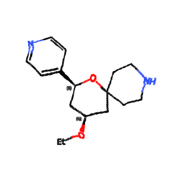 CCO[C@H]1C[C@@H](c2ccncc2)OC2(CCNCC2)C1